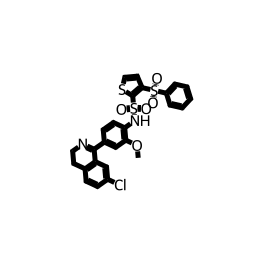 COc1cc(C2=NCCc3ccc(Cl)cc32)ccc1NS(=O)(=O)c1sccc1S(=O)(=O)c1ccccc1